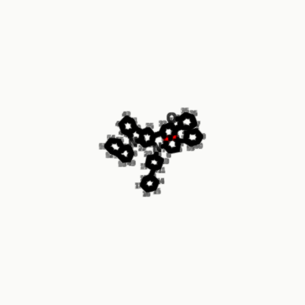 c1ccc(-c2ccc(N(c3ccc(-c4ccccc4)cc3)c3cc4c(cc3-c3ccc5c(c3)oc3ccccc35)c3ccccc3n4-c3cccc4ccccc34)cc2)cc1